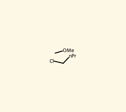 CCCCCl.COC